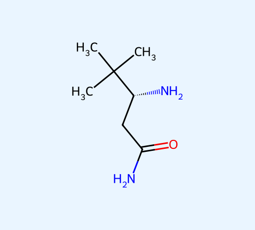 CC(C)(C)[C@H](N)CC(N)=O